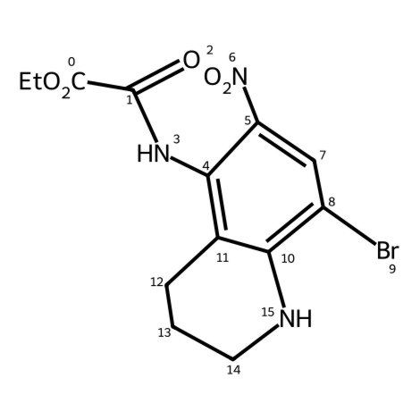 CCOC(=O)C(=O)Nc1c([N+](=O)[O-])cc(Br)c2c1CCCN2